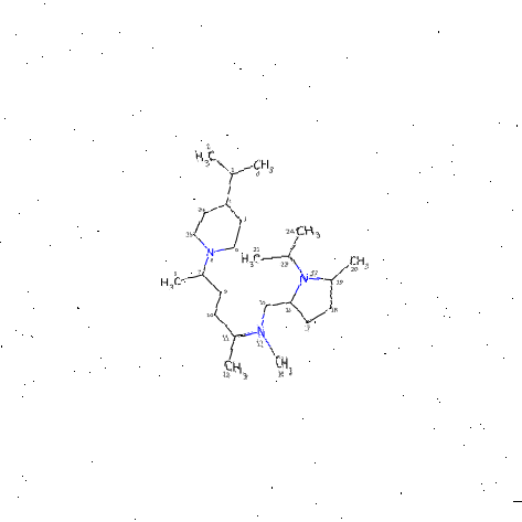 CC(C)C1CCN(C(C)CCC(C)N(C)CC2CCC(C)N2C(C)C)CC1